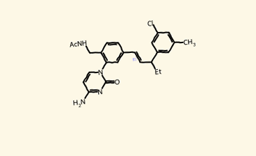 CCC(/C=C/c1ccc(CNC(C)=O)c(-n2ccc(N)nc2=O)c1)c1cc(C)cc(Cl)c1